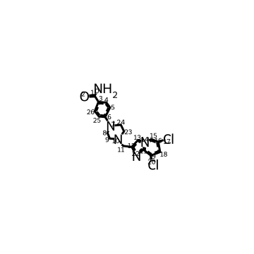 NC(=O)c1ccc(N2CCN(Cc3cn4cc(Cl)cc(Cl)c4n3)CC2)cc1